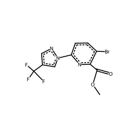 COC(=O)c1nc(-n2cc(C(F)(F)F)cn2)ccc1Br